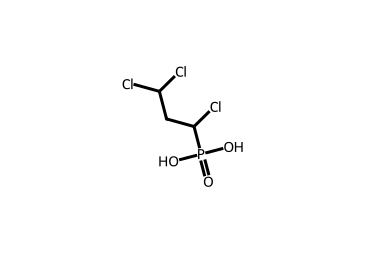 O=P(O)(O)C(Cl)CC(Cl)Cl